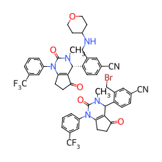 CN1C(=O)N(c2cccc(C(F)(F)F)c2)C2=C(C(=O)CC2)C1c1ccc(C#N)cc1CBr.CN1C(=O)N(c2cccc(C(F)(F)F)c2)C2=C(C(=O)CC2)[C@H]1c1ccc(C#N)cc1CNC1CCOCC1